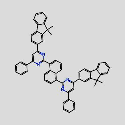 CC1(C)c2ccccc2-c2ccc(-c3cc(-c4ccccc4)nc(-c4cccc5c(-c6nc(-c7ccccc7)cc(-c7ccc8c(c7)C(C)(C)c7ccccc7-8)n6)cccc45)n3)cc21